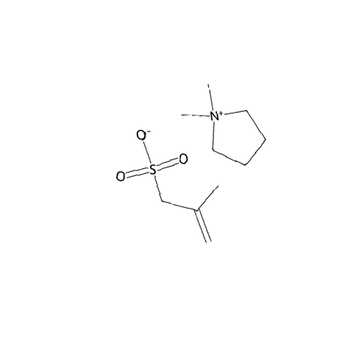 C=C(C)CS(=O)(=O)[O-].C[N+]1(C)CCCC1